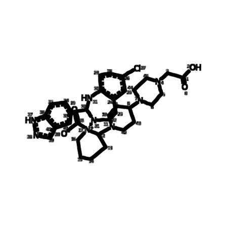 O=C(O)CN1CCN(C2CCN(C3CCCC[N@@+]3(C(=O)[O-])N3CCc4cc(Cl)ccc4NC3c3ccc4[nH]ncc4c3)CC2)CC1